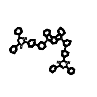 c1ccc(C2=NC(c3ccccc3)NC(c3ccc(-c4cccc(-n5c6ccccc6c6c7c8ccccc8n(-c8cccc(-c9ccc(C%10NC(c%11ccccc%11)CC(c%11ccccc%11)N%10)cc9)c8)c7ccc65)c4)cc3)N2)cc1